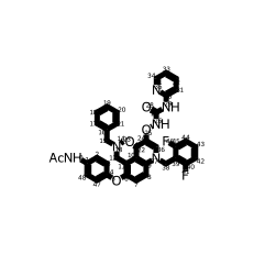 CC(=O)Nc1ccc(Oc2ccc3c(c2CN(C)Cc2ccccc2)c(=O)c(ONC(=O)Nc2ccccn2)cn3Cc2c(F)cccc2F)cc1